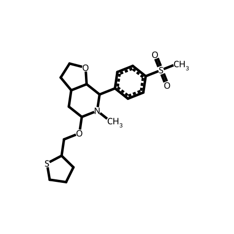 CN1C(OCC2CCCS2)CC2CCOC2C1c1ccc(S(C)(=O)=O)cc1